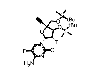 C#C[C@]1(CO[Si](C)(C)C(C)(C)C)O[C@@H](n2cc(F)c(N)nc2=O)[C@@H](F)C1O[Si](C)(C)C(C)(C)C